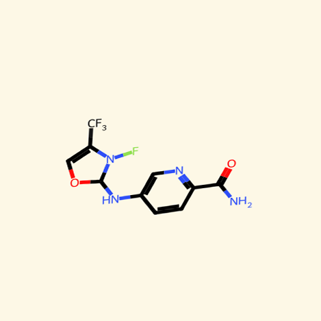 NC(=O)c1ccc(NC2OC=C(C(F)(F)F)N2F)cn1